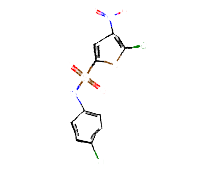 O=[N+]([O-])c1cc(S(=O)(=O)Nc2ccc(Cl)cc2)sc1Cl